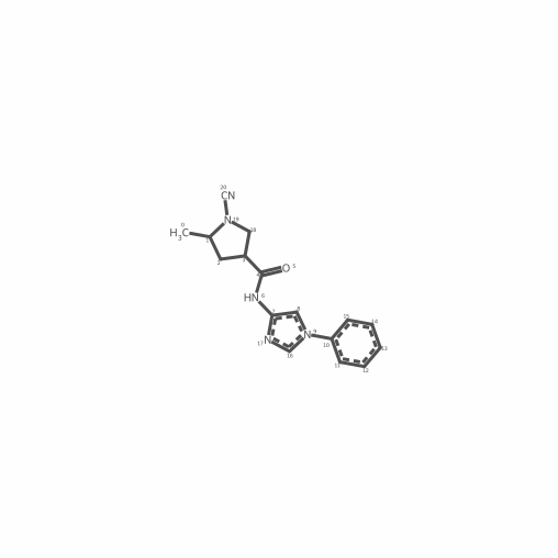 CC1CC(C(=O)Nc2cn(-c3ccccc3)cn2)CN1C#N